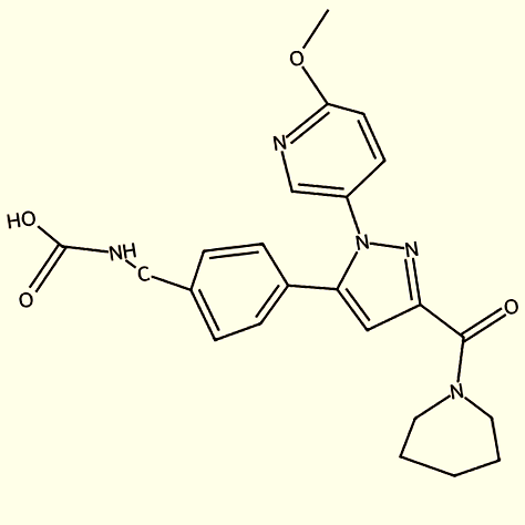 COc1ccc(-n2nc(C(=O)N3CCCCC3)cc2-c2ccc(CNC(=O)O)cc2)cn1